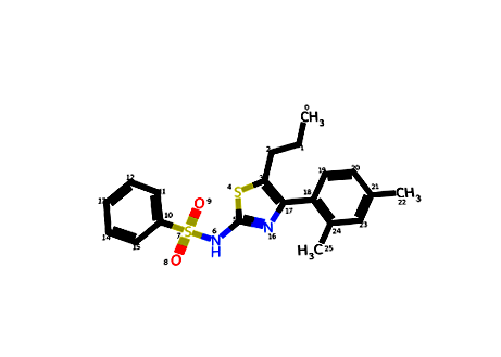 CCCc1sc(NS(=O)(=O)c2ccccc2)nc1-c1ccc(C)cc1C